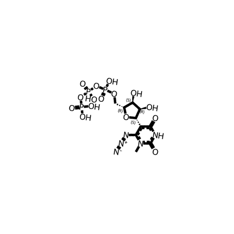 Cn1c(N=[N+]=[N-])c([C@@H]2O[C@H](COP(=O)(O)OP(=O)(O)OP(=O)(O)O)[C@@H](O)[C@H]2O)c(=O)[nH]c1=O